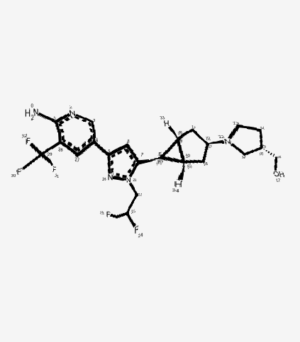 Nc1ncc(-c2cc([C@H]3[C@@H]4C[C@@H](N5CC[C@H](CO)C5)C[C@@H]43)n(CC(F)F)n2)cc1C(F)(F)F